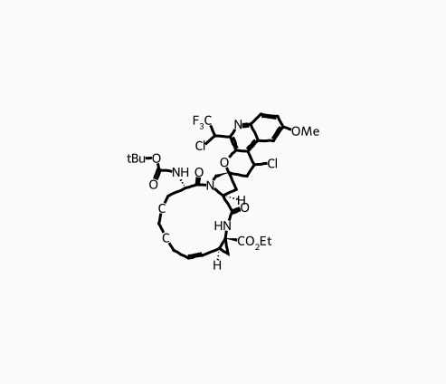 CCOC(=O)[C@@]12C[C@H]1/C=C\CCCCC[C@H](NC(=O)OC(C)(C)C)C(=O)N1C[C@@]3(CC(Cl)c4c(c(C(Cl)C(F)(F)F)nc5ccc(OC)cc45)O3)C[C@H]1C(=O)N2